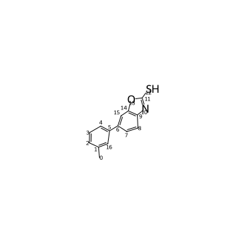 Cc1cccc(-c2ccc3nc(S)oc3c2)c1